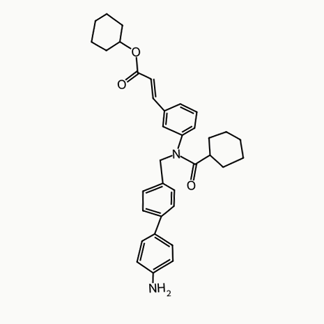 Nc1ccc(-c2ccc(CN(C(=O)C3CCCCC3)c3cccc(/C=C/C(=O)OC4CCCCC4)c3)cc2)cc1